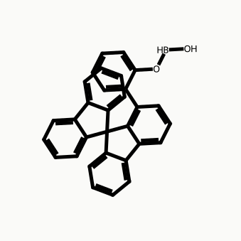 OBOc1ccccc1-c1cccc2c1C1(c3ccccc3-c3ccccc31)c1ccccc1-2